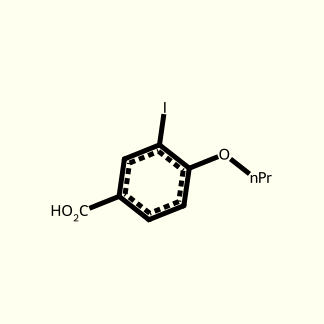 CCCOc1ccc(C(=O)O)cc1I